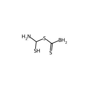 BC(=S)SC(N)S